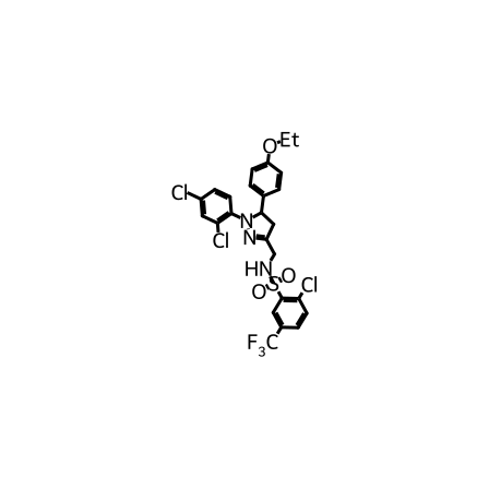 CCOc1ccc(C2CC(CNS(=O)(=O)c3cc(C(F)(F)F)ccc3Cl)=NN2c2ccc(Cl)cc2Cl)cc1